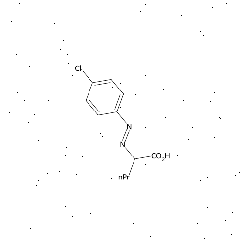 CCCC(N=Nc1ccc(Cl)cc1)C(=O)O